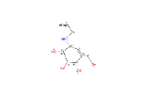 CCCCCCCCN[C@@H]1C=C(CO)[C@H](O)C(O)[C@@H]1O